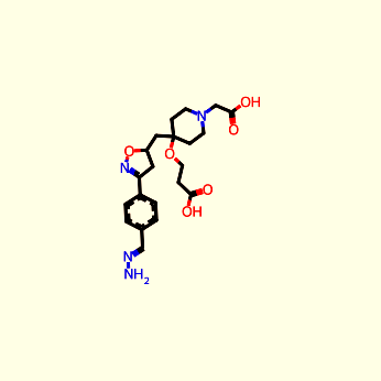 NN=Cc1ccc(C2=NOC(CC3(OCCC(=O)O)CCN(CC(=O)O)CC3)C2)cc1